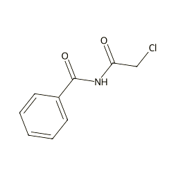 O=C(CCl)NC(=O)c1ccccc1